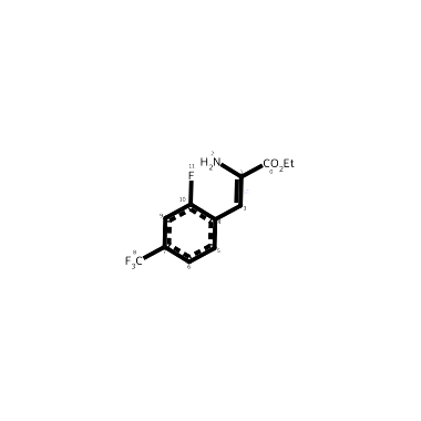 CCOC(=O)/C(N)=C/c1ccc(C(F)(F)F)cc1F